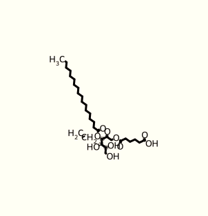 C=C.CCCCCCCCCCCCCCCCCC(=O)O[C@@H](C(=O)COC(=O)CCCCC(=O)O)[C@@H](O)[C@H](O)CO